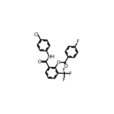 O=C(Oc1c(C(=O)Nc2ccc(Cl)cc2)cccc1C(F)(F)F)c1ccc(F)cc1